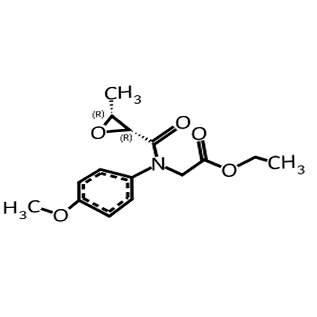 CCOC(=O)CN(C(=O)[C@@H]1O[C@@H]1C)c1ccc(OC)cc1